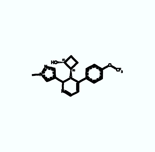 Cn1cc(C2N=CC=C(c3ccc(OC(F)(F)F)cc3)N2[C@@H]2CC[C@H]2O)cn1